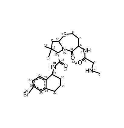 CNCC(=O)NC1CCSC2CC(C)(C)[C@@H](C(=O)NC3CCCc4cc(Br)ccc43)N2C1=O